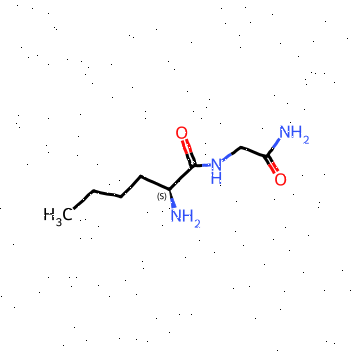 CCCC[C@H](N)C(=O)NCC(N)=O